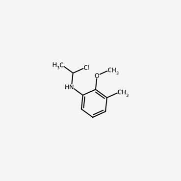 COc1c(C)cccc1NC(C)Cl